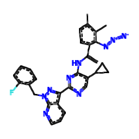 C=C(Nc1nc(-c2nn(Cc3ccccc3F)c3ncccc23)ncc1C1CC1)c1ccc(C)c(C)c1N=[N+]=[N-]